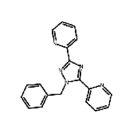 c1ccc(Cn2nc(-c3ccccn3)nc2-c2ccccn2)cc1